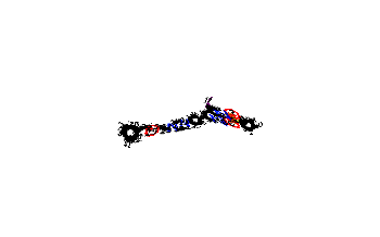 Cc1ccc(S(=O)(=O)n2cc(I)c3cc(-c4ccc(N5CCN(CCOCc6ccccc6)CC5)cc4)cnc32)cc1